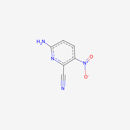 N#Cc1nc(N)ccc1[N+](=O)[O-]